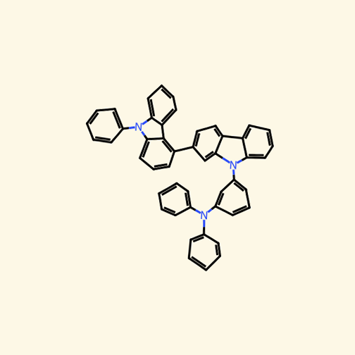 c1ccc(N(c2ccccc2)c2cccc(-n3c4ccccc4c4ccc(-c5cccc6c5c5ccccc5n6-c5ccccc5)cc43)c2)cc1